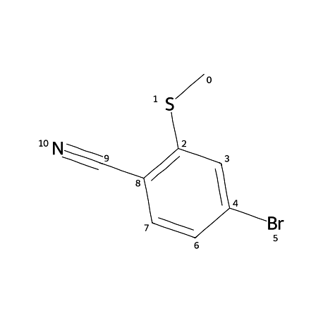 CSc1cc(Br)ccc1C#N